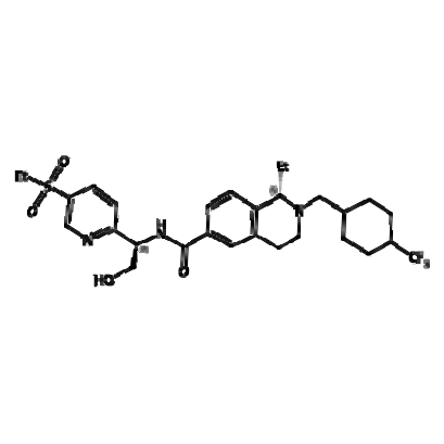 CC[C@H]1c2ccc(C(=O)N[C@@H](CO)c3ccc(S(=O)(=O)CC)cn3)cc2CCN1CC1CCC(C(F)(F)F)CC1